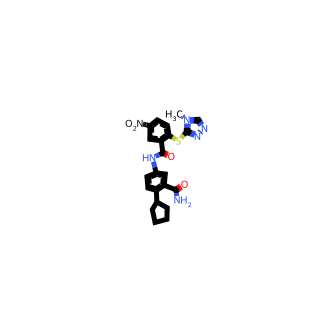 Cn1cnnc1Sc1ccc([N+](=O)[O-])cc1C(=O)Nc1ccc(C2CCCC2)c(C(N)=O)c1